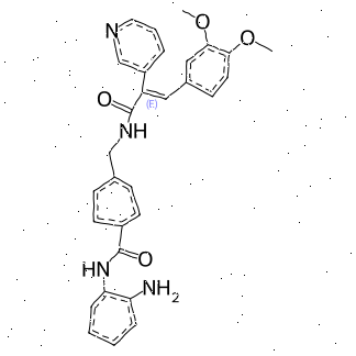 COc1ccc(/C=C(/C(=O)NCc2ccc(C(=O)Nc3ccccc3N)cc2)c2cccnc2)cc1OC